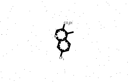 CCOC(=O)c1cnc2cc(C(F)(F)F)ccc2c1C